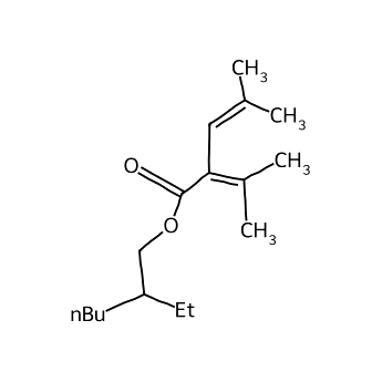 CCCCC(CC)COC(=O)C(C=C(C)C)=C(C)C